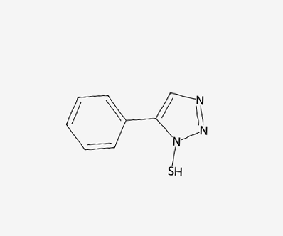 Sn1nncc1-c1ccccc1